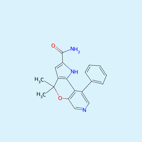 CC1(C)Oc2cncc(-c3ccccc3)c2-c2[nH]c(C(N)=O)cc21